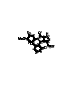 COc1ccc(N2C(=O)c3[nH]nc(CC(C)C)c3C2c2c(Cl)cccc2Cl)cc1F